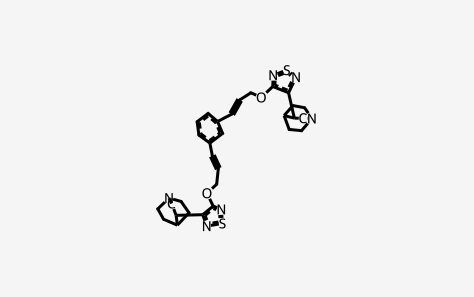 C(#Cc1cccc(C#CCOc2nsnc2C2CN3CCC2CC3)c1)COc1nsnc1C1CN2CCC1CC2